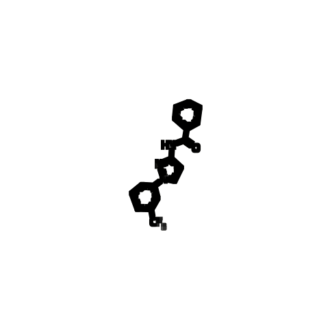 O=C(Nc1ccn(-c2cccc(C(F)(F)F)c2)n1)c1ccccc1